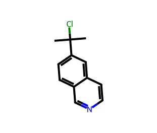 CC(C)(Cl)c1ccc2cnccc2c1